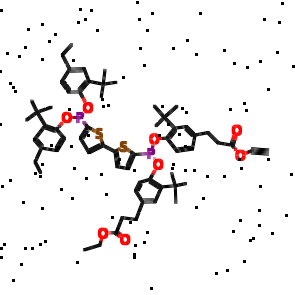 C#COC(=O)CCc1ccc(OP(Oc2ccc(CCC(=O)OCC)cc2C(C)(C)C)c2ccc(-c3ccc(P(Oc4ccc(CC)cc4C(C)(C)C)Oc4ccc(CC)cc4C(C)(C)C)s3)s2)c(C(C)(C)C)c1